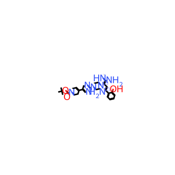 CN/C(N)=C(/C=C(\N)c1ccccc1O)N1CCN(c2ncc(C3=CCN(C(=O)OC(C)(C)C)CC3)cn2)CC1